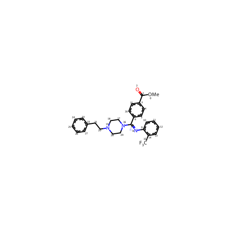 COC(=O)c1ccc(/C(=N\c2ccccc2C(F)(F)F)N2CCN(CCc3ccccc3)CC2)cc1